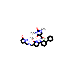 COc1nc(C2(NC(=O)c3cn(C)c(=O)n(C)c3=O)C=CC=C(c3ccccc3)[C@]2(F)Cl)ccc1CNCC1CCC(=O)N1